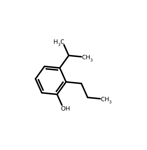 CCCc1c(O)cccc1C(C)C